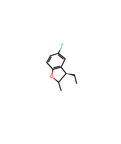 CC[C@@H]1c2cc(F)ccc2OC1C